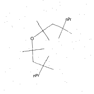 CCCC(C)(C)CC(C)(C)OC(C)(C)CC(C)(C)CCC